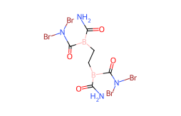 NC(=O)B(CCB(C(N)=O)C(=O)N(Br)Br)C(=O)N(Br)Br